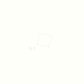 C1CCC1.N